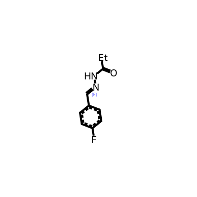 CCC(=O)N/N=C/c1ccc(F)cc1